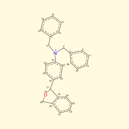 c1ccc(CN(Cc2ccccc2)c2ccc(C3OCc4ccccc43)cc2)cc1